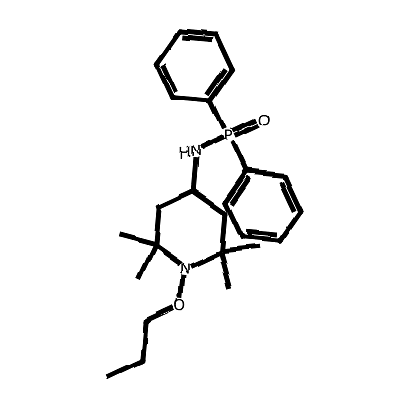 CCCON1C(C)(C)CC(NP(=O)(c2ccccc2)c2ccccc2)CC1(C)C